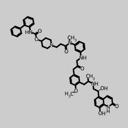 COc1ccc(CC(=O)CNc2cccc(N(C)C(=O)CCN3CCC(OC(=O)Nc4ccccc4-c4ccccc4)CC3)c2)cc1CC(C)NC[C@H](O)c1ccc(O)c2[nH]c(=O)ccc12